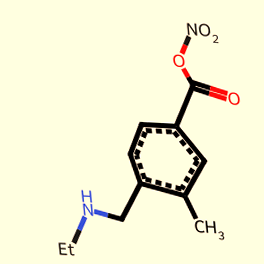 CCNCc1ccc(C(=O)O[N+](=O)[O-])cc1C